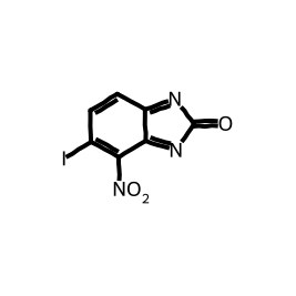 O=C1N=c2ccc(I)c([N+](=O)[O-])c2=N1